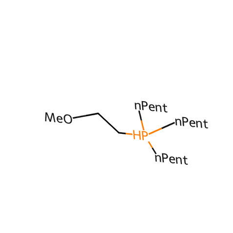 CCCCC[PH](CCCCC)(CCCCC)CCOC